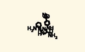 NC(=O)c1cnc(N[C@@H]2CCCC[C@@H]2N)nc1Nc1ccc(-c2cnco2)cc1